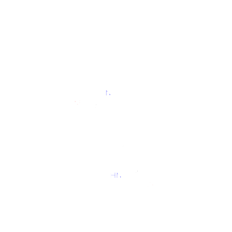 O=C1Cc2cc(C(=O)N3Cc4ccccc4C3)ccc2N1